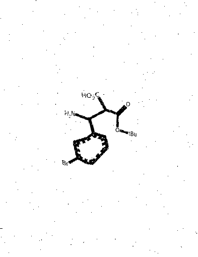 CC(C)(C)OC(=O)C(C(=O)O)C(N)c1cccc(Br)c1